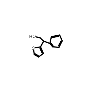 OCC(c1ccccc1)c1cccs1